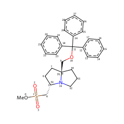 COS(=O)(=O)C[C@@H]1CC[C@]2(COC(c3ccccc3)(c3ccccc3)c3ccccc3)CCCN12